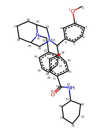 COc1cccc(C(c2ccc(C(=O)NC3CCCCC3)cc2)N2CC3CCCC(C2)N3Cc2ccccc2)c1